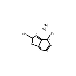 Cl.Cl.OC1N=C2C(=CC=CC2O)N1